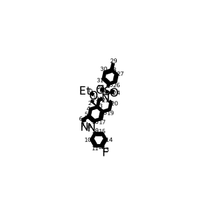 CCOC[C@]12Cc3cnn(-c4ccc(F)cc4)c3C=C1CCN(S(=O)(=O)c1ccc(C)cc1)C2